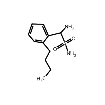 CCCCc1ccccc1C(N)S(N)(=O)=O